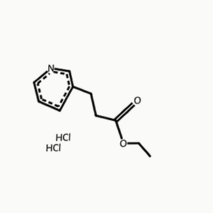 CCOC(=O)CCc1cccnc1.Cl.Cl